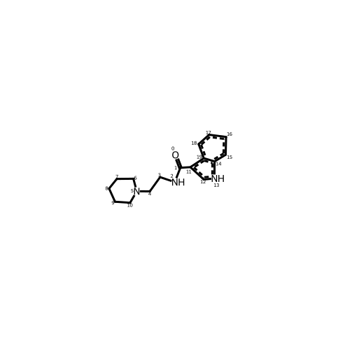 O=C(NCCN1CCCCC1)c1c[nH]c2ccccc12